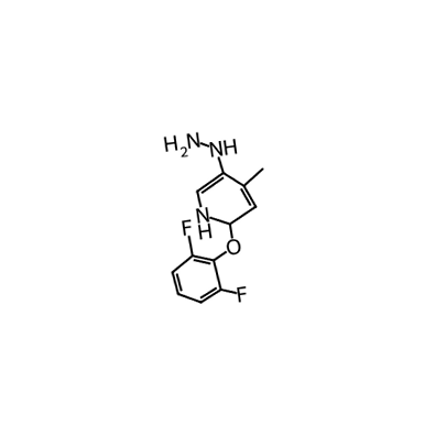 CC1=CC(Oc2c(F)cccc2F)NC=C1NN